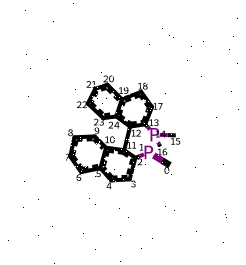 C=Pc1ccc2ccccc2c1-c1c(P(C)C)ccc2ccccc12